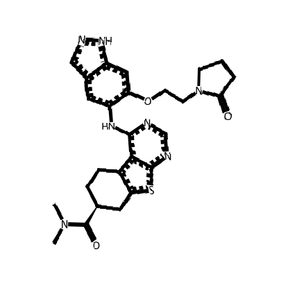 CN(C)C(=O)[C@H]1CCc2c(sc3ncnc(Nc4cc5cn[nH]c5cc4OCCN4CCCC4=O)c23)C1